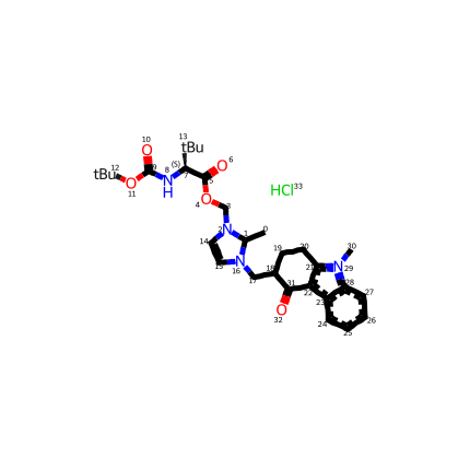 CC1N(COC(=O)[C@@H](NC(=O)OC(C)(C)C)C(C)(C)C)C=CN1CC1CCc2c(c3ccccc3n2C)C1=O.Cl